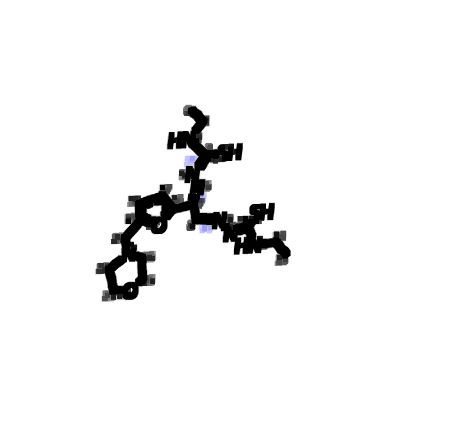 CCN/C(S)=N/N=C(/C=N/N=C(\S)NCC)c1ccc(CN2CCOCC2)o1